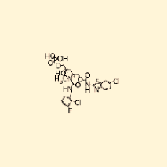 CN(C(=O)NCc1cccc(F)c1Cl)[C@H](COC(=O)Nc1nc2ccc(Cl)cc2s1)C[C@@H](O)COP(=O)(O)O